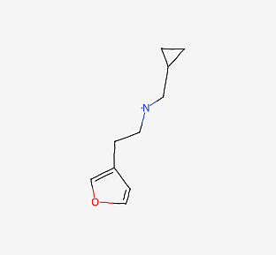 c1cc(CC[N]CC2CC2)co1